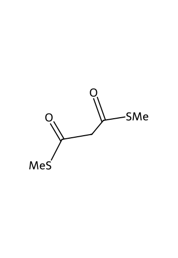 CSC(=O)CC(=O)SC